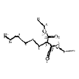 CCOC(=O)C(CCCCCI)C(=O)OCC